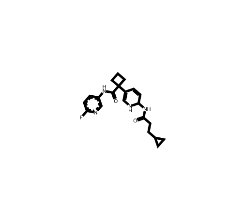 O=C(CCC1CC1)NC1C=CC(C2(C(=O)Nc3ccc(F)nc3)CCC2)=CN1